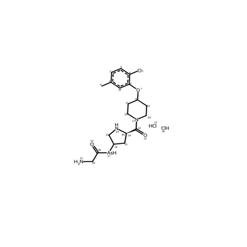 Cc1ccc(Cl)c(OC2CCN(C(=O)[C@H]3CC([AsH]C(=O)CN)CN3)CC2)c1.Cl.Cl